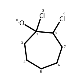 [O]C1(Cl)CCCCCC1Cl